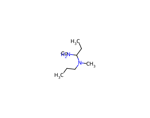 CCCN(C)C(N)CC.[Co]